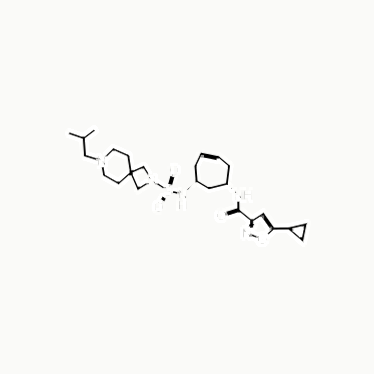 CC(C)CN1CCC2(CC1)CN(S(=O)(=O)N[C@H]1CC=CC[C@H](NC(=O)c3cc(C4CC4)on3)C1)C2